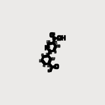 CC(=O)c1cccc(-c2ccc(C(=O)O)cn2)c1